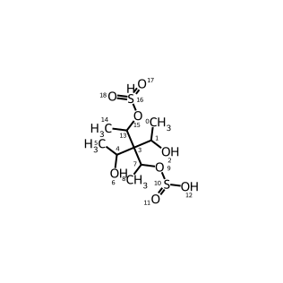 CC(O)C(C(C)O)(C(C)OS(=O)O)C(C)O[SH](=O)=O